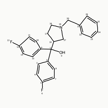 OC(c1ccc(F)cc1)(c1ccc(F)cc1)C1CCN(Cc2ccccc2)C1